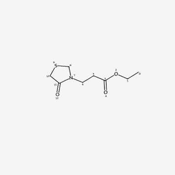 CCOC(=O)CCN1CSCC1=O